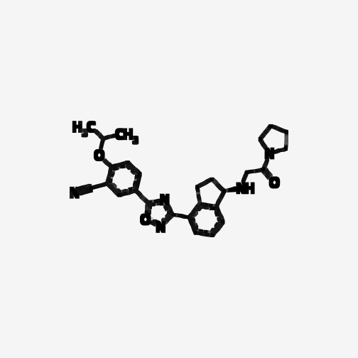 CC(C)Oc1ccc(-c2nc(-c3cccc4c3CC[C@H]4NCC(=O)N3CCCC3)no2)cc1C#N